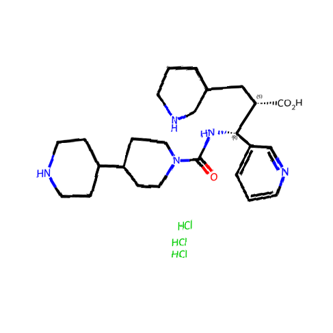 Cl.Cl.Cl.O=C(O)[C@@H](CC1CCCNC1)[C@@H](NC(=O)N1CCC(C2CCNCC2)CC1)c1cccnc1